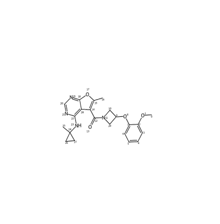 COc1ccccc1OC1CN(C(=O)c2c(C)oc3ncnc(NC4(C)CC4)c23)C1